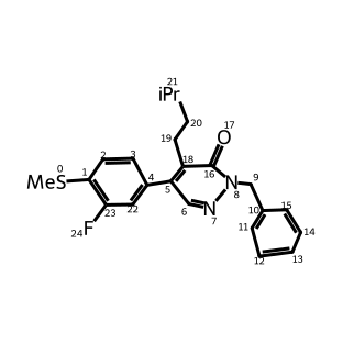 CSc1ccc(-c2cnn(Cc3ccccc3)c(=O)c2CCC(C)C)cc1F